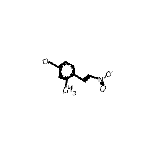 Cc1cc(Cl)ccc1/C=C/[N+](=O)[O-]